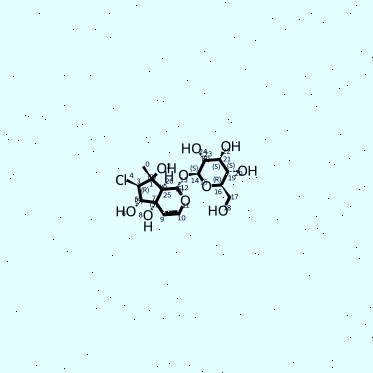 C[C@]1(O)[C@H](Cl)[C@@H](O)[C@]2(O)C=CO[C@@H](O[C@@H]3O[C@H](CO)[C@@H](O)[C@H](O)[C@H]3O)[C@H]12